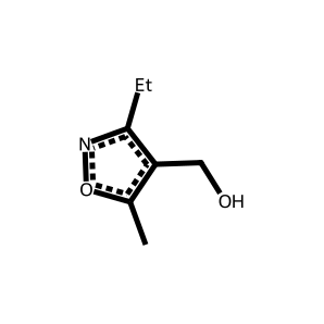 CCc1noc(C)c1CO